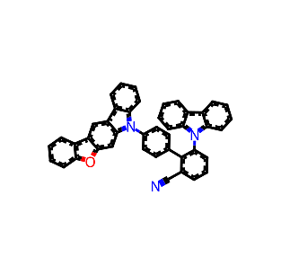 N#Cc1cccc(-n2c3ccccc3c3ccccc32)c1-c1ccc(-n2c3ccccc3c3cc4c(cc32)oc2ccccc24)cc1